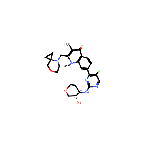 Cc1c(CN2CCOCC23CC3)n(C(C)C)c2cc(-c3nc(N[C@@H]4CCOC[C@H]4O)ncc3F)ccc2c1=O